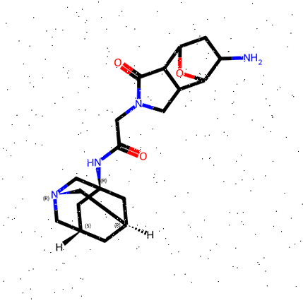 NC1CC2OC1C1CN(CC(=O)N[C@@]34C[C@@H]5C[C@@H](C[N@](C5)C3)C4)C(=O)C21